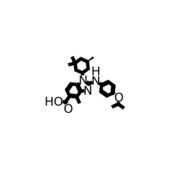 Cc1c(C(=O)O)ccc2c1nc(Nc1ccc(OC(C)C)cc1)n2C1C[C@H](C)CC(C)(C)C1